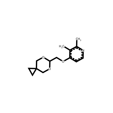 Cc1nccc(OCC2OCC3(CC3)CO2)c1C